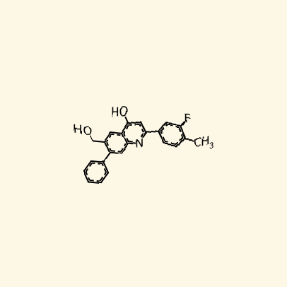 Cc1ccc(-c2cc(O)c3cc(CO)c(-c4ccccc4)cc3n2)cc1F